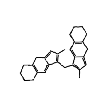 CC1=C(CC2=C(C)C=C3CC4=C(C=C32)CCCC4)C2=CC3=C(CCCC3)CC2=C1